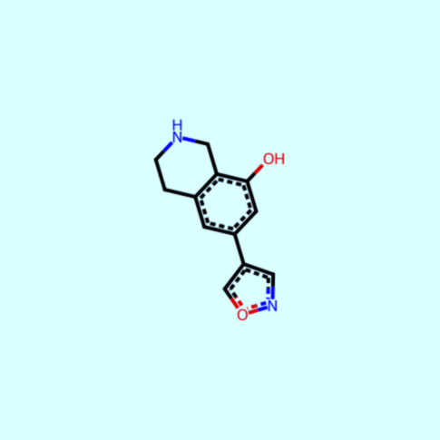 Oc1cc(-c2cnoc2)cc2c1CNCC2